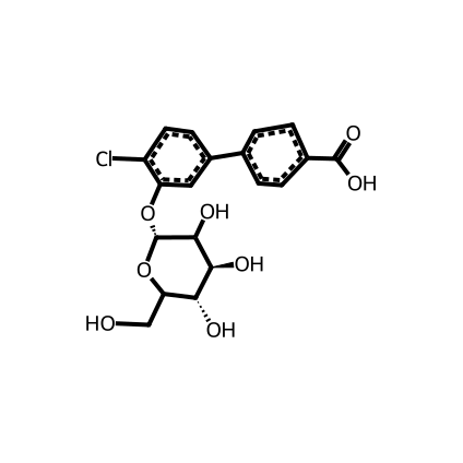 O=C(O)c1ccc(-c2ccc(Cl)c(O[C@H]3OC(CO)[C@@H](O)[C@H](O)C3O)c2)cc1